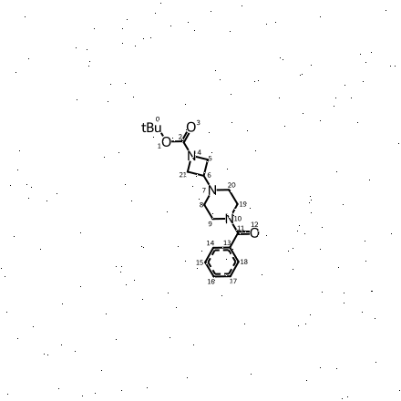 CC(C)(C)OC(=O)N1CC(N2CCN(C(=O)c3ccccc3)CC2)C1